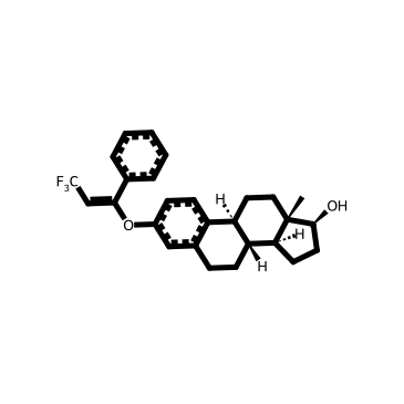 C[C@]12CC[C@@H]3c4ccc(OC(=CC(F)(F)F)c5ccccc5)cc4CC[C@H]3[C@@H]1CC[C@@H]2O